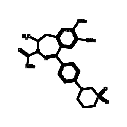 CNC(=O)N1N=C(c2ccc(N3CCCS(=O)(=O)C3)cc2)c2cc(OC)c(OC)cc2CC1C